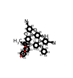 CSN1c2cc3c(cc2B2c4ccccc4N(c4ccccc4)c4cc(C#N)cc1c42)B1c2cc4c(cc2Oc2cc(C#N)cc(c21)O3)Nc1cc(C#N)cc2c1B4c1ccccc1N2c1ccccc1